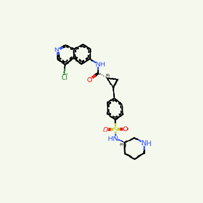 O=C(Nc1ccc2cncc(Cl)c2c1)[C@@H]1CC1c1ccc(S(=O)(=O)N[C@@H]2CCCNC2)cc1